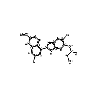 COc1cnc2c(-c3nc4cc(F)c(O[C@@H](C)CO)cc4s3)cc(C)cc2n1